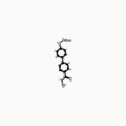 CCCCCCCCCOc1ccc(-c2ccc(C(=O)CC(C)=O)cc2)cc1